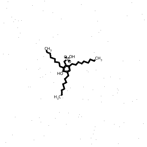 CCCCCCCCCc1cc(CCCCCCCC)c(O)c(CCCCCCCC)c1CS(=O)(=O)O